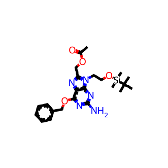 CC(=O)OCc1nc2c(OCc3ccccc3)nc(N)nc2n1CCO[Si](C)(C)C(C)(C)C